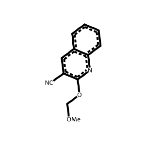 COCOc1nc2ccccc2cc1C#N